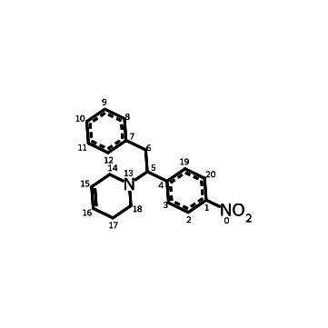 O=[N+]([O-])c1ccc(C(Cc2ccccc2)N2CC=CCC2)cc1